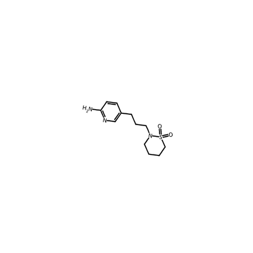 Nc1ccc(CCCN2CCCCS2(=O)=O)cn1